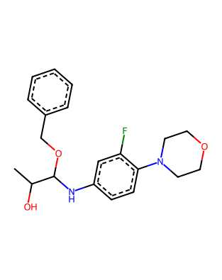 CC(O)C(Nc1ccc(N2CCOCC2)c(F)c1)OCc1ccccc1